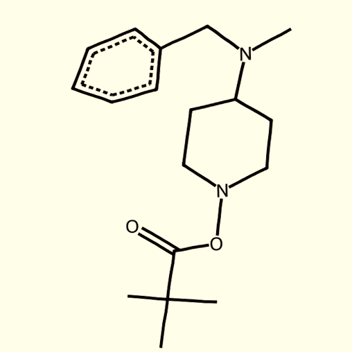 CN(Cc1ccccc1)C1CCN(OC(=O)C(C)(C)C)CC1